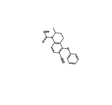 C#Cc1ccc2c(c1Oc1ccccc1)CCC(C)N2C(=O)OC